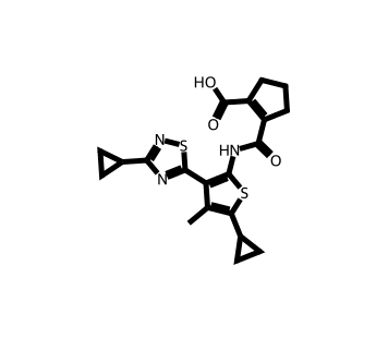 Cc1c(C2CC2)sc(NC(=O)C2=C(C(=O)O)CCC2)c1-c1nc(C2CC2)ns1